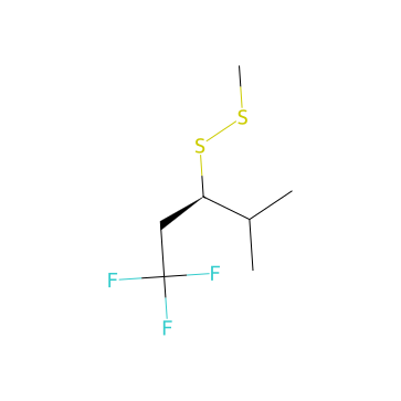 CSS[C@H](CC(F)(F)F)C(C)C